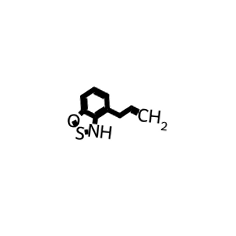 C=CCc1cccc2c1NSO2